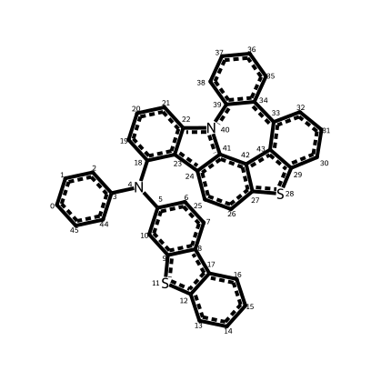 c1ccc(N(c2ccc3c(c2)sc2ccccc23)c2cccc3c2c2ccc4sc5cccc6c7ccccc7n3c2c4c56)cc1